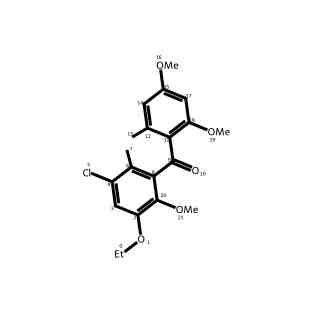 CCOc1cc(Cl)c(C)c(C(=O)c2c(C)cc(OC)cc2OC)c1OC